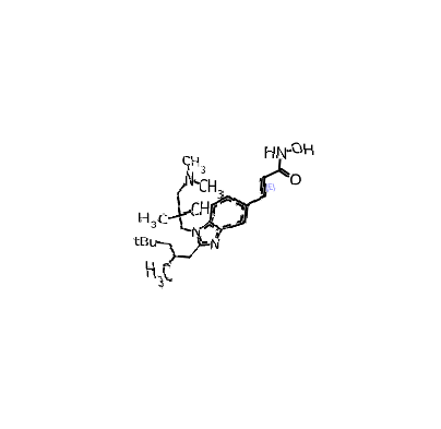 CC(Cc1nc2cc(/C=C/C(=O)NO)ccc2n1CC(C)(C)CN(C)C)CC(C)(C)C